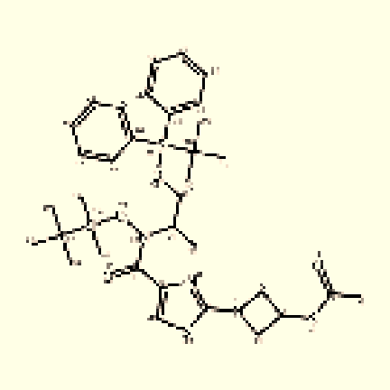 CC(=O)SC1CN(c2nc(C(=O)N(O[Si](C)(C)C(C)(C)C)C(C)CO[Si](c3ccccc3)(c3ccccc3)C(C)(C)C)cs2)C1